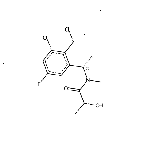 CC(O)C(=O)N(C)[C@@H](C)c1cc(F)cc(Cl)c1CCl